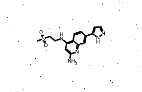 CS(=O)(=O)CCNc1cc(N)nc2cc(-c3ccn[nH]3)ccc12